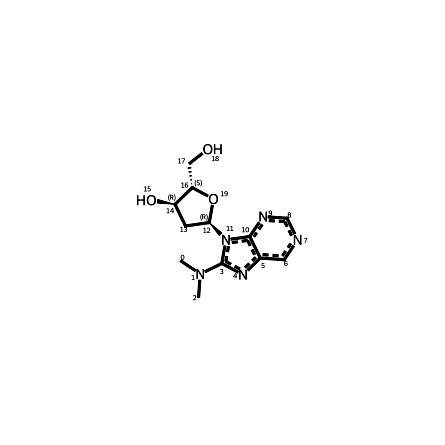 CN(C)c1nc2cncnc2n1[C@H]1C[C@@H](O)[C@H](CO)O1